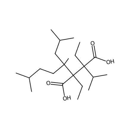 CCC(C(=O)O)(C(C)C)C(CC)(C(=O)O)C(C)(CCC(C)C)CC(C)C